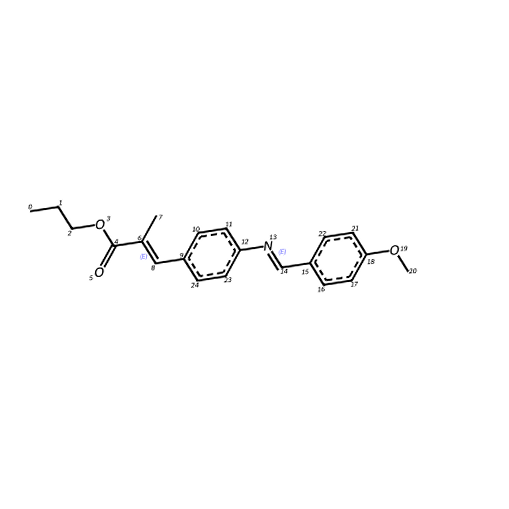 CCCOC(=O)/C(C)=C/c1ccc(/N=C/c2ccc(OC)cc2)cc1